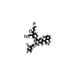 Cc1cccc2cncc(-c3ncc4c(N5CCN(C(=O)/C=C/CF)C(CC#N)C5)nc(OCC5CC(F)(F)CN5C)nc4c3F)c12